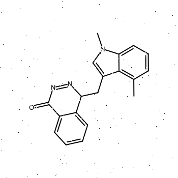 Cc1cccc2c1c(CC1N=NC(=O)c3ccccc31)cn2C